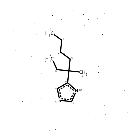 CCCCC(C)(CC)c1cscn1